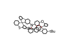 CC(C)(C)c1ccc2c(c1)C1(c3ccccc3Oc3ccc(N(c4ccc5c(c4)C4(c6ccccc6Sc6ccccc64)c4ccccc4-5)c4ccccc4-c4ccccc4)cc31)c1cc(C(C)(C)C)ccc1-2